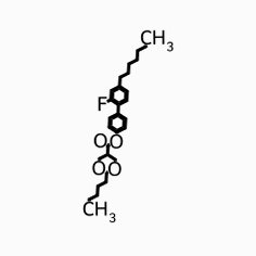 CCCCCCCc1ccc(-c2ccc(OC(=O)C3COC(CCCCC)OC3)cc2)c(F)c1